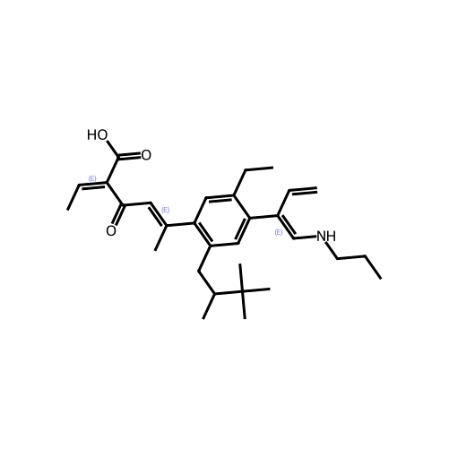 C=C/C(=C\NCCC)c1cc(CC(C)C(C)(C)C)c(/C(C)=C/C(=O)/C(=C\C)C(=O)O)cc1CC